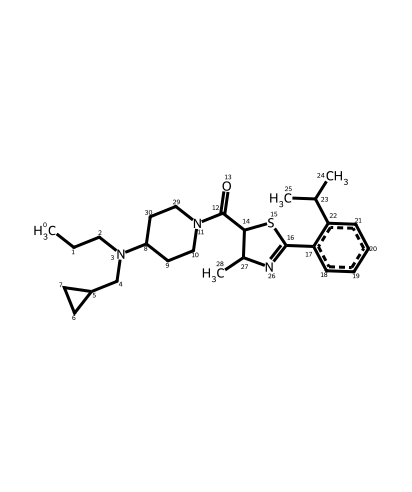 CCCN(CC1CC1)C1CCN(C(=O)C2SC(c3ccccc3C(C)C)=NC2C)CC1